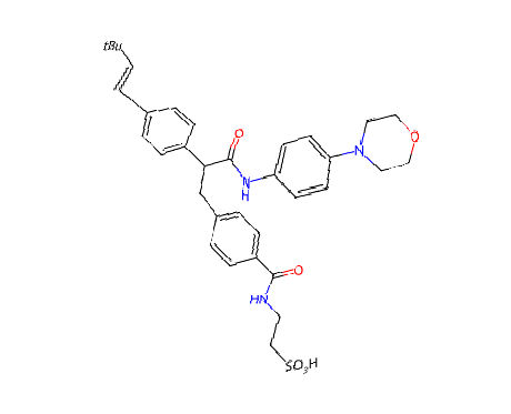 CC(C)(C)/C=C/c1ccc(C(Cc2ccc(C(=O)NCCS(=O)(=O)O)cc2)C(=O)Nc2ccc(N3CCOCC3)cc2)cc1